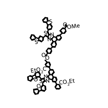 CCOC(=O)c1ccccc1-c1ccc2c3ccc(-c4ccc(COC(=O)c5ccc(-c6ccc7c8ccc(-c9ccc(C(=O)OC)cc9)cc8c8nc9c(-c%10ccc%11sc%12ccccc%12c%11c%10)sc(-c%10ccc%11sc%12ccccc%12c%11c%10)c9nc8c7c6)cc5)cc4C(=O)OCC)cc3c3nc4c(-c5cccc6c5oc5ccccc56)sc(-c5cccc6c5oc5ccccc56)c4nc3c2c1